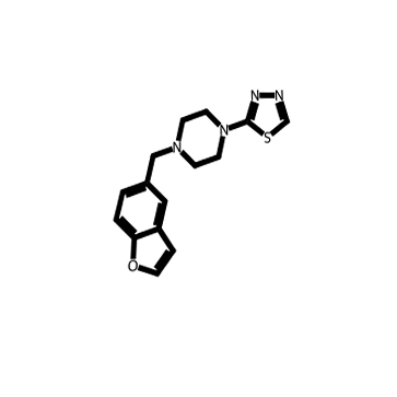 c1cc2cc(CN3CCN(c4nncs4)CC3)ccc2o1